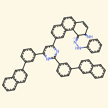 N=C1C=Cc2ccc3ccc(-c4cc(-c5cccc(-c6ccc7ccccc7c6)c5)nc(-c5cccc(-c6ccc7ccccc7c6)c5)n4)cc3c2/C1=N/Nc1ccccc1